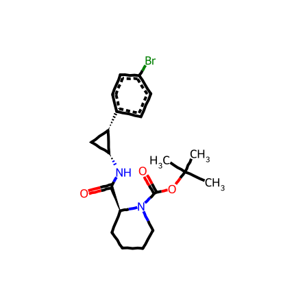 CC(C)(C)OC(=O)N1CCCC[C@H]1C(=O)N[C@@H]1C[C@@H]1c1ccc(Br)cc1